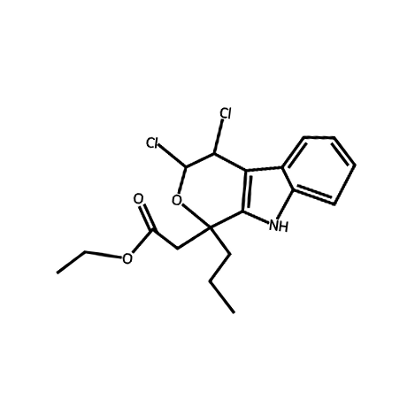 CCCC1(CC(=O)OCC)OC(Cl)C(Cl)c2c1[nH]c1ccccc21